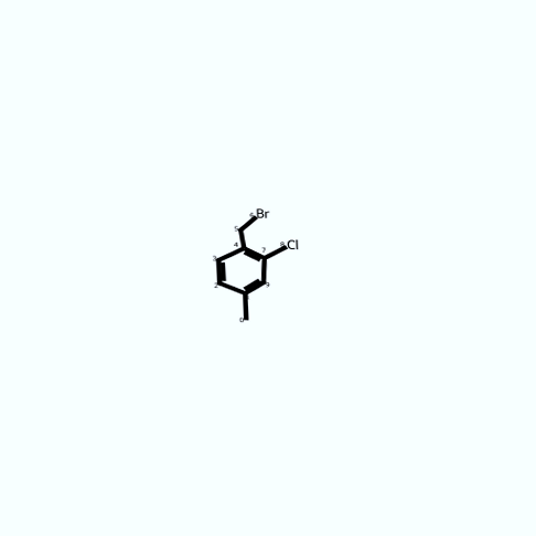 Cc1ccc(CBr)c(Cl)c1